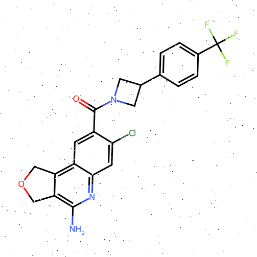 Nc1nc2cc(Cl)c(C(=O)N3CC(c4ccc(C(F)(F)F)cc4)C3)cc2c2c1COC2